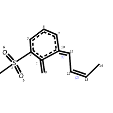 C=c1c(S(C)(=O)=O)ccc/c1=C/C=C\C